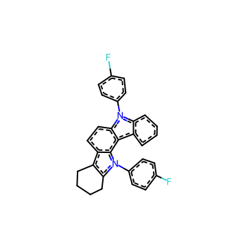 Fc1ccc(-n2c3c(c4ccc5c(c6ccccc6n5-c5ccc(F)cc5)c42)CCCC3)cc1